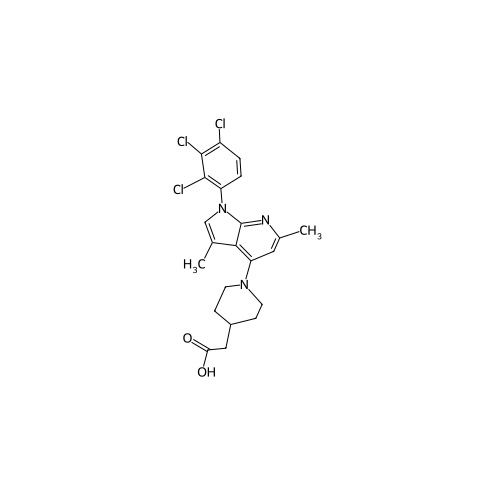 Cc1cc(N2CCC(CC(=O)O)CC2)c2c(C)cn(-c3ccc(Cl)c(Cl)c3Cl)c2n1